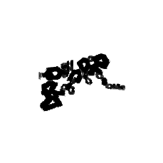 COCCOCC1(CNC(=O)[C@H]2C[C@@H](NS(=O)(=O)c3ccc(F)cc3)CN(C(=O)OCC3c4ccccc4-c4ccccc43)C2)c2ccccc2Oc2ccccc21